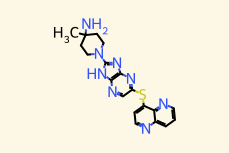 CC1(N)CCN(c2nc3nc(Sc4ccnc5cccnc45)cnc3[nH]2)CC1